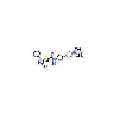 Cc1nn(C2CCCCC2)c2sc(C(=O)NC3CCC(N4CCC(N(C)C)CC4)CC3)cc12